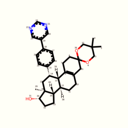 CC1(C)COC2(CCC3=C(CC[C@@H]4[C@@H]3[C@@H](c3ccc(-c5cncnc5)cc3)C[C@]3(C)[C@@H](O)CC[C@@H]43)C2)OC1